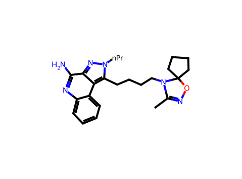 CCCn1nc2c(N)nc3ccccc3c2c1CCCCN1C(C)=NOC12CCCC2